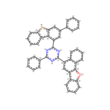 c1ccc(-c2cc(-c3nc(-c4ccccc4)nc(-c4cc5c6ccccc6oc5c5ccccc45)n3)c3c(c2)sc2ccccc23)cc1